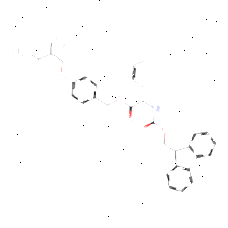 C/C=C\C[C@H](NC(=O)OCC1c2ccccc2-c2ccccc21)C(=O)OCc1ccc(OCC(C)CC)cc1